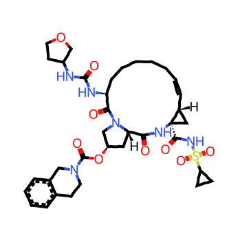 O=C(NC1CCOC1)N[C@H]1CCCCC/C=C\[C@@H]2C[C@@]2(C(=O)NS(=O)(=O)C2CC2)NC(=O)[C@@H]2C[C@@H](OC(=O)N3CCc4ccccc4C3)CN2C1=O